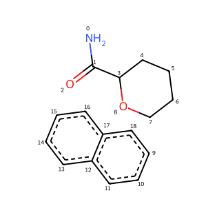 NC(=O)C1CCCCO1.c1ccc2ccccc2c1